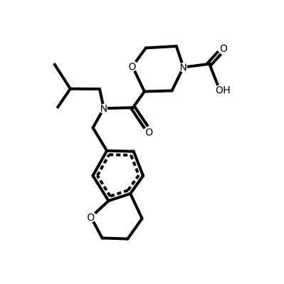 CC(C)CN(Cc1ccc2c(c1)OCCC2)C(=O)C1CN(C(=O)O)CCO1